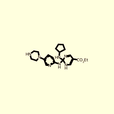 CCOC(=O)C1=CNC(Nc2ccc(N3CCNCC3)cn2)(NC2CCCC2)N=C1